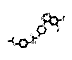 COc1cc2ncnc(N3CCC(OC(=O)Nc4ccc(OC(C)C)cc4)CC3)c2cc1OC